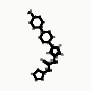 CC(=O)N1CCC(N2CCN(c3nnc(NC(=O)NC4CCCC4)s3)CC2)CC1